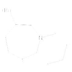 CC(C)(C)C1CCCC2CCCCN2C1